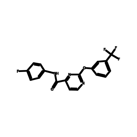 O=C(Nc1ccc(F)cc1)c1ccnc(Oc2cccc(C(F)(F)F)c2)n1